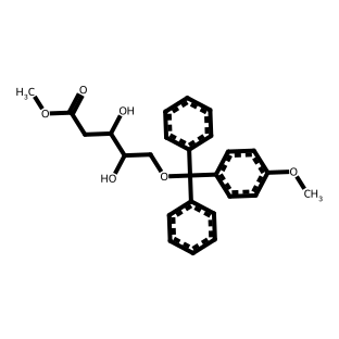 COC(=O)CC(O)C(O)COC(c1ccccc1)(c1ccccc1)c1ccc(OC)cc1